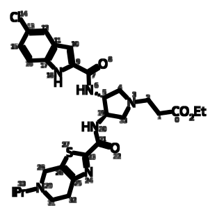 CCOC(=O)CCN1C[C@@H](NC(=O)c2cc3cc(Cl)ccc3[nH]2)[C@H](NC(=O)c2nc3c(s2)CN(C(C)C)CC3)C1